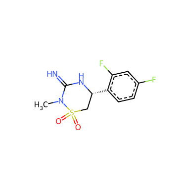 CN1C(=N)N[C@H](c2ccc(F)cc2F)CS1(=O)=O